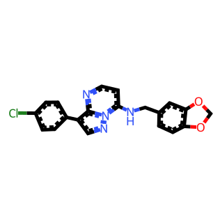 Clc1ccc(-c2cnn3c(NCc4ccc5c(c4)OCO5)ccnc23)cc1